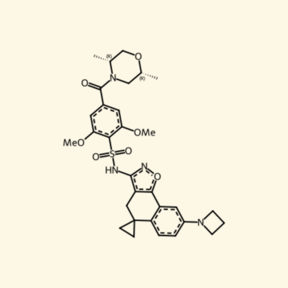 COc1cc(C(=O)N2C[C@@H](C)OC[C@H]2C)cc(OC)c1S(=O)(=O)Nc1noc2c1CC1(CC1)c1ccc(N3CCC3)cc1-2